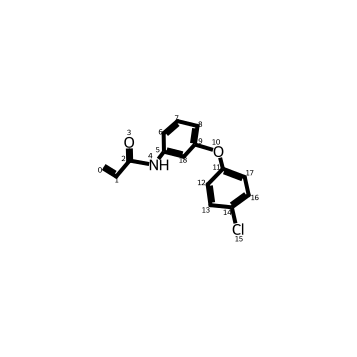 C=CC(=O)Nc1cccc(Oc2ccc(Cl)cc2)c1